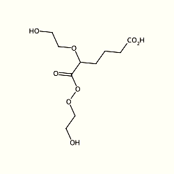 O=C(O)CCCC(OCCO)C(=O)OOCCO